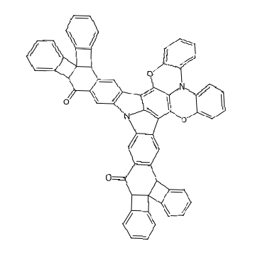 O=C1c2cc3c(cc2C2c4ccccc4C24c2ccccc2C14)c1c2c4c(c5c6cc7c(cc6n3c15)C(=O)C1c3ccccc3C13c1ccccc1C73)Oc1ccccc1N4c1ccccc1O2